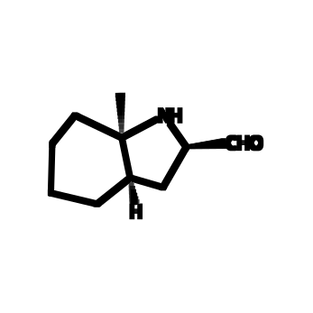 C[C@@]12CCCC[C@@H]1C[C@H](C=O)N2